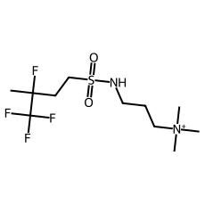 CC(F)(CCS(=O)(=O)NCCC[N+](C)(C)C)C(F)(F)F